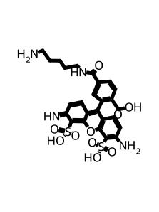 N=c1ccc2c(-c3cc(C(=O)NCCCCCN)ccc3C(=O)O)c3ccc(N)c(S(=O)(=O)O)c3oc-2c1S(=O)(=O)O